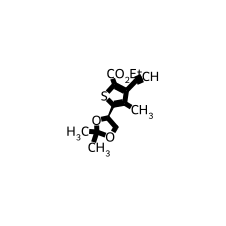 C#Cc1c(C(=O)OCC)sc([C@H]2COC(C)(C)O2)c1C